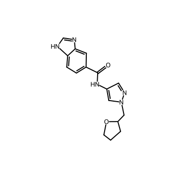 O=C(Nc1cnn(CC2CCCO2)c1)c1ccc2[nH]cnc2c1